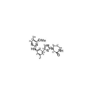 COc1nc(Nc2cc(C)cc(-c3cnc(N4CCCNC(=O)C4)s3)c2)ncc1I